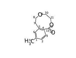 Cc1ccc2c(c1)CCOCCOC2=O